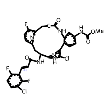 COC(=O)Nc1ccc2c(c1)NC(=O)CCc1nc(ccc1F)CC(NC(=O)/C=C/c1c(F)ccc(Cl)c1F)c1nc-2c(Cl)[nH]1